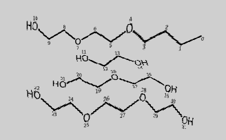 CCCCOCCOCCO.OCCO.OCCOCCO.OCCOCCOCCO